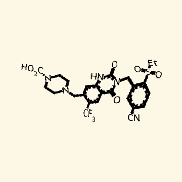 CCS(=O)(=O)c1ccc(C#N)cc1Cn1c(=O)[nH]c2cc(CN3CCN(C(=O)O)CC3)c(C(F)(F)F)cc2c1=O